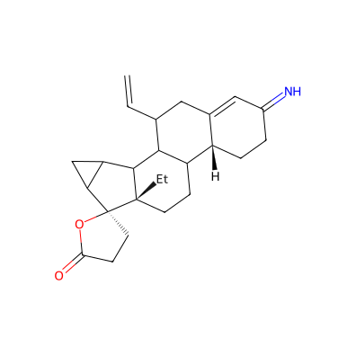 C=CC1CC2=CC(=N)CC[C@@H]2C2CC[C@@]3(CC)C(C4CC4[C@@]34CCC(=O)O4)C12